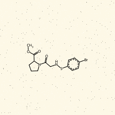 COC(=O)C1CCCN1C(=O)CNSc1ccc(Br)cc1